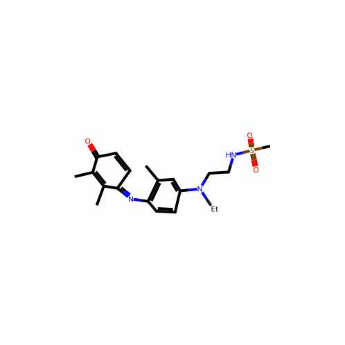 CCN(CCNS(C)(=O)=O)c1ccc(N=C2C=CC(=O)C(C)=C2C)c(C)c1